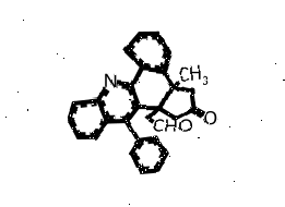 CC12CC(=O)CC1(CC=O)c1c(nc3ccccc3c1-c1ccccc1)-c1ccccc12